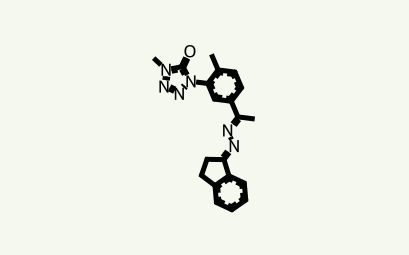 C/C(=N\N=C1/CCc2ccccc21)c1ccc(C)c(-n2nnn(C)c2=O)c1